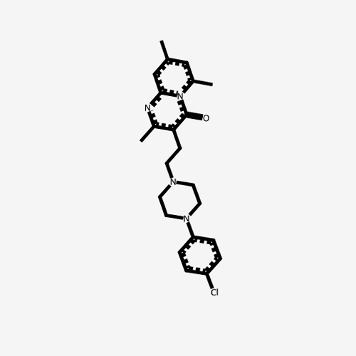 Cc1cc(C)n2c(=O)c(CCN3CCN(c4ccc(Cl)cc4)CC3)c(C)nc2c1